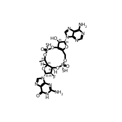 C[C@H]1O[P@@](=O)(S)OC2=C(CO[P@](=O)(S)O[C@H]3[C@@H](F)[C@H](n4cnc5c(=O)[nH]c(N)nc54)O[C@@H]31)O[C@@H](n1cnc3c(N)ncnc31)[C@@H]2O